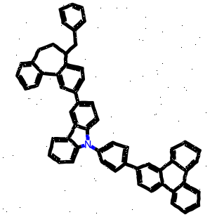 c1ccc(CC2CCc3ccccc3-c3cc(-c4ccc5c(c4)c4ccccc4n5-c4ccc(-c5ccc6c7ccccc7c7ccccc7c6c5)cc4)ccc32)cc1